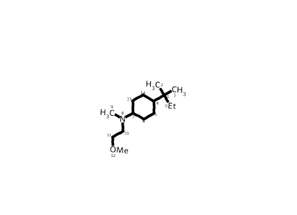 CCC(C)(C)C1CCC(N(C)CCOC)CC1